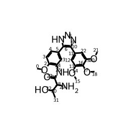 COc1ccc(-c2[nH]nnc2-c2cc(OC)c(OC)c(OC)c2)cc1NC(=O)C(N)C(C)O